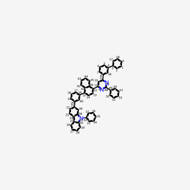 c1ccc(-c2cccc(-c3cc(-c4ccc(-c5cccc(-c6ccc7c8ccccc8n(-c8ccccc8)c7c6)c5)c5ccccc45)nc(-c4ccccc4)n3)c2)cc1